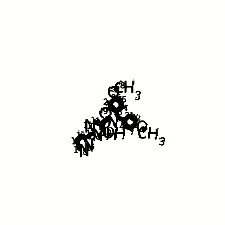 COc1ccc(C(NC(=O)c2cnc(-c3cccnn3)nc2O)c2ccc(OC)cc2)cc1